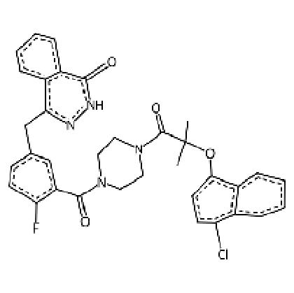 CC(C)(Oc1ccc(Cl)c2ccccc12)C(=O)N1CCN(C(=O)c2cc(Cc3n[nH]c(=O)c4ccccc34)ccc2F)CC1